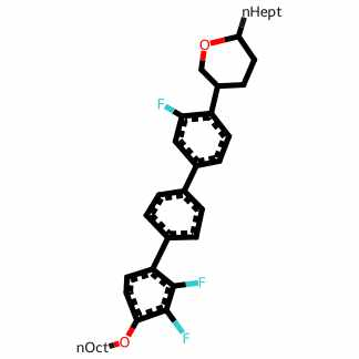 CCCCCCCCOc1ccc(-c2ccc(-c3ccc(C4CCC(CCCCCCC)OC4)c(F)c3)cc2)c(F)c1F